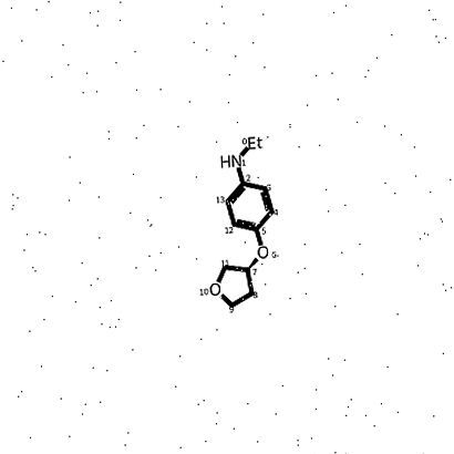 CCNc1ccc(O[C@H]2CCOC2)cc1